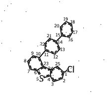 Clc1ccc2sc3cccc(-c4ccc(-c5ccccc5)cc4)c3c2c1